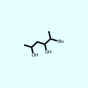 CC(O)CC(O)C(C)C(C)(C)C